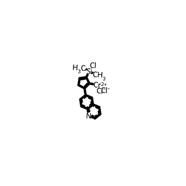 C[Si](C)(Cl)C1=CCC(c2ccc3ncccc3c2)=[C]1[Cr+2].[Cl-].[Cl-]